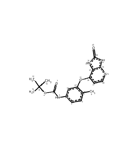 Cc1ccc(NC(=O)OC(C)(C)C)cc1Oc1ccnc2[nH]c(=O)[nH]c12